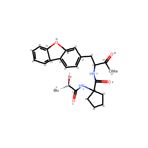 CC[C@@H](C)[C@@H](Br)C(=O)NC1(C(=O)NC(Cc2ccc3c(c2)oc2ccccc23)C(=O)OC)CCCC1